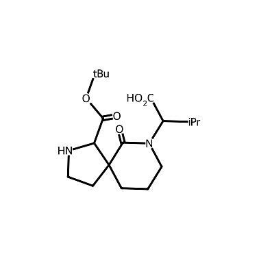 CC(C)C(C(=O)O)N1CCCC2(CCNC2C(=O)OC(C)(C)C)C1=O